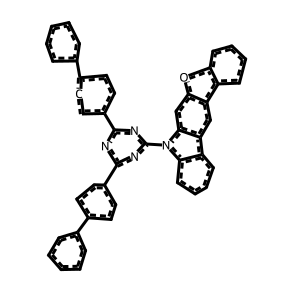 c1ccc(-c2ccc(-c3nc(-c4ccc(-c5ccccc5)cc4)nc(-n4c5ccccc5c5cc6c(cc54)oc4ccccc46)n3)cc2)cc1